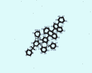 CC(C)(c1ccccc1)C1C=C[C@H]2C(C1)B1c3ccccc3N(c3ccccc3)c3cc(-c4c5ccccc5c(-c5ccc(-c6ccccc6)c6ccccc56)c5ccccc45)cc(c31)N2C1=CC=CCC1